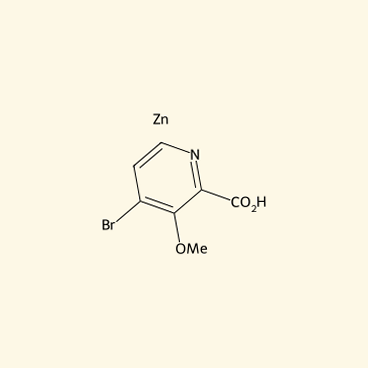 COc1c(Br)ccnc1C(=O)O.[Zn]